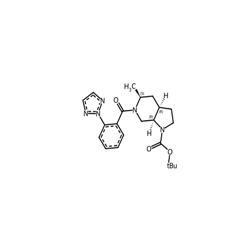 C[C@H]1C[C@H]2CCN(C(=O)OC(C)(C)C)[C@H]2CN1C(=O)c1ccccc1-n1nccn1